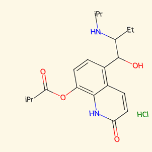 CCC(NC(C)C)C(O)c1ccc(OC(=O)C(C)C)c2[nH]c(=O)ccc12.Cl